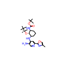 Cc1coc(-c2cc(N[C@@H]3CCC[C@H](NC(=O)OC(C)(C)C)[C@H]3O[Si](C)(C)C(C)(C)C)c(N)cn2)n1